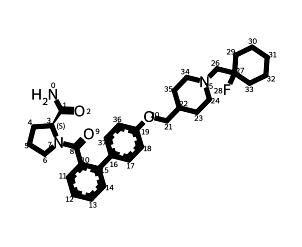 NC(=O)[C@@H]1CCCN1C(=O)c1ccccc1-c1ccc(OCC2CCN(CC3(F)CCCCC3)CC2)cc1